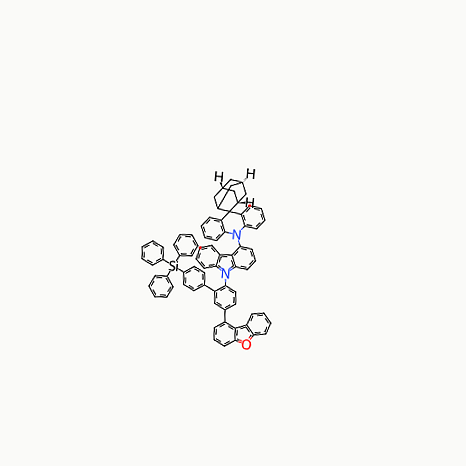 c1ccc([Si](c2ccccc2)(c2ccccc2)c2ccc(-c3cc(-c4cccc5oc6ccccc6c45)ccc3-n3c4ccccc4c4c(N5c6ccccc6C6(c7ccccc75)C5C[C@H]7C[C@@H](C5)C[C@@H]6C7)cccc43)cc2)cc1